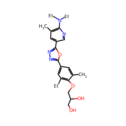 CCc1cc(-c2nnc(-c3cnc(N(CC)CC)c(C)c3)o2)cc(C)c1OCC(O)CO